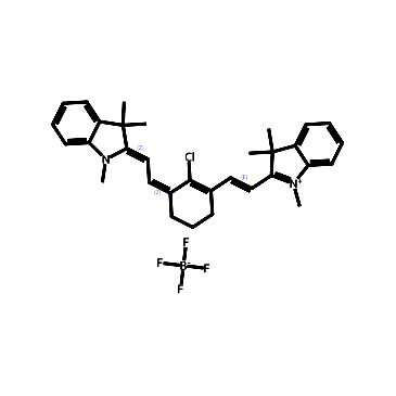 CN1/C(=C\C=C2\CCCC(/C=C/C3=[N+](C)c4ccccc4C3(C)C)=C2Cl)C(C)(C)c2ccccc21.F[B-](F)(F)F